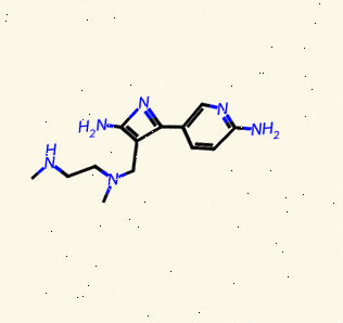 CNCCN(C)CC1=C(N)N=C1c1ccc(N)nc1